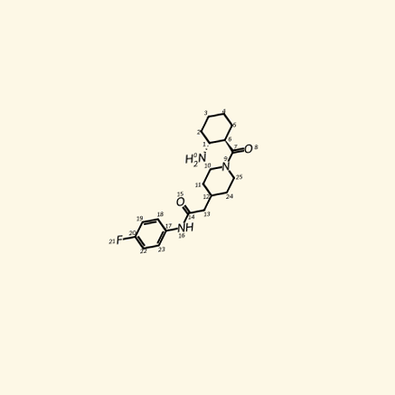 N[C@@H]1CCCC[C@H]1C(=O)N1CCC(CC(=O)Nc2ccc(F)cc2)CC1